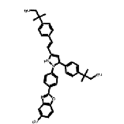 CC(C)(C)CC(C)(C)c1ccc(C=CC2=CC(c3ccc(C(C)(C)CC(C)(C)C)cc3)N(c3ccc(-c4nc5cc(C(C)(C)C)ccc5o4)cc3)N2)cc1